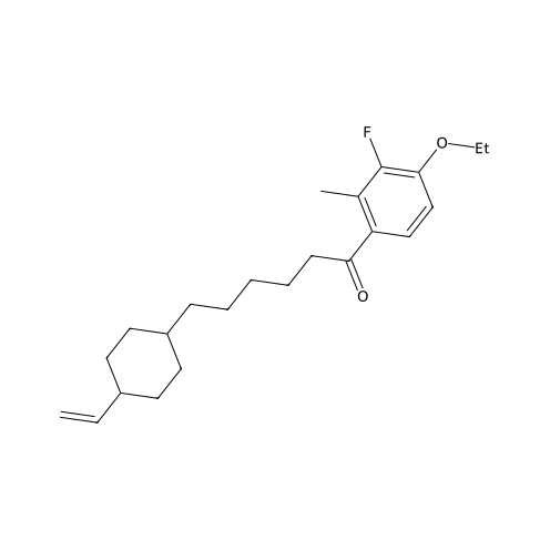 C=CC1CCC(CCCCCC(=O)c2ccc(OCC)c(F)c2C)CC1